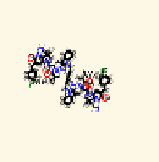 CN[C@H](C)C(=O)N[C@@H](Cc1cn(CC#CC#CCn2cc(C[C@H](NC(=O)[C@@H](C)NC)C(=O)N3CC(C)(C)c4[nH]c(=O)c(Cc5ccc(F)cc5)cc43)c3ccccc32)c2ccccc12)C(=O)N1CC(C)(C)c2[nH]c(=O)c(Cc3ccc(F)cc3)cc21